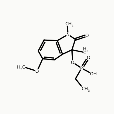 CCP(=O)(O)OC1(C)C(=O)N(C)c2ccc(OC)cc21